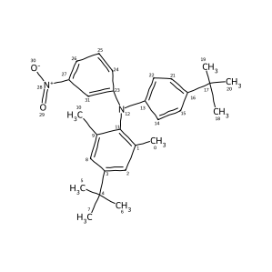 Cc1cc(C(C)(C)C)cc(C)c1N(c1ccc(C(C)(C)C)cc1)c1cccc([N+](=O)[O-])c1